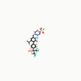 CC(C)c1cc(CN2CCN(S(C)(=O)=O)CC2)c(F)c(F)c1-c1ccc(C(O)(C(F)(F)F)C(F)(F)F)cc1